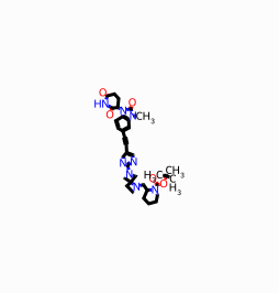 Cn1c(=O)n(C2CCC(=O)NC2=O)c2ccc(C#Cc3cnc(N4CC5(CCN5CC5CCCCN5C(=O)OC(C)(C)C)C4)nc3)cc21